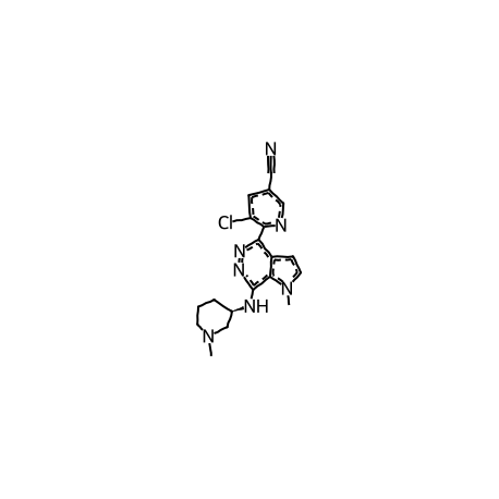 CN1CCC[C@@H](Nc2nnc(-c3ncc(C#N)cc3Cl)c3ccn(C)c23)C1